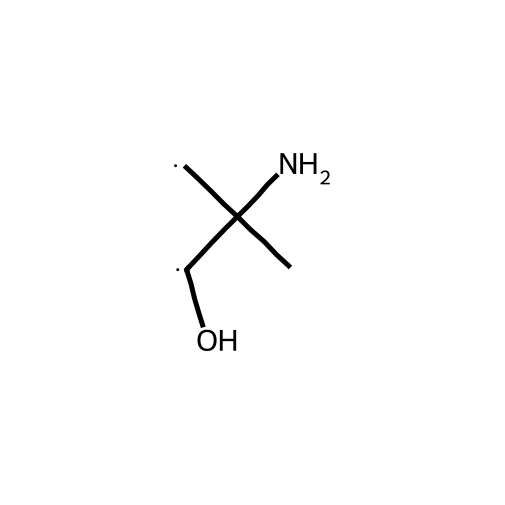 [CH2]C(C)(N)[CH]O